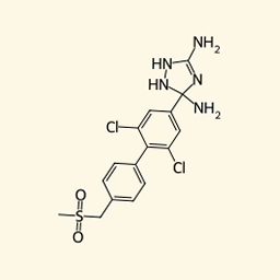 CS(=O)(=O)Cc1ccc(-c2c(Cl)cc(C3(N)N=C(N)NN3)cc2Cl)cc1